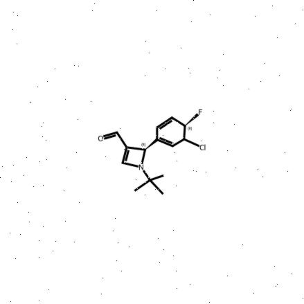 CC(C)(C)N1C=C(C=O)[C@H]1C1=CC(Cl)[C@H](F)C=C1